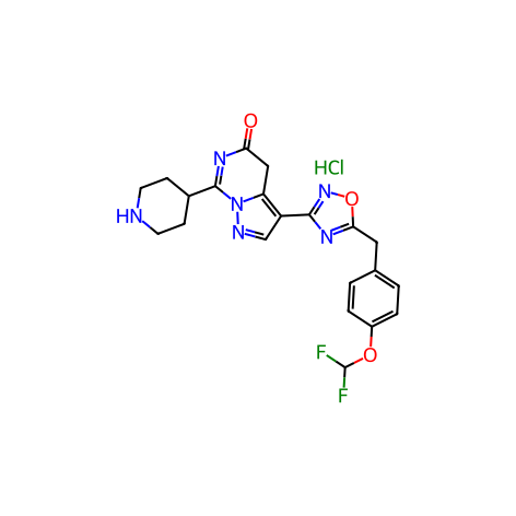 Cl.O=C1Cc2c(-c3noc(Cc4ccc(OC(F)F)cc4)n3)cnn2C(C2CCNCC2)=N1